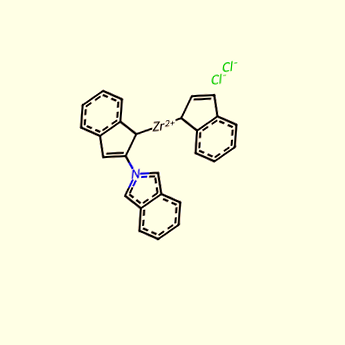 C1=C[CH]([Zr+2][CH]2C(n3cc4ccccc4c3)=Cc3ccccc32)c2ccccc21.[Cl-].[Cl-]